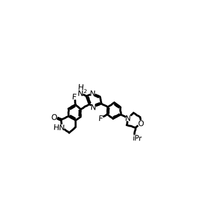 CC(C)C1CN(c2ccc(-c3cnc(N)c(-c4cc5c(cc4F)C(=O)NCC5)n3)c(F)c2)CCO1